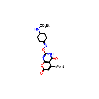 CCCCCc1cc(=O)oc2nc(ON=C3CCC(NC(=O)OCC)CC3)[nH]c(=O)c12